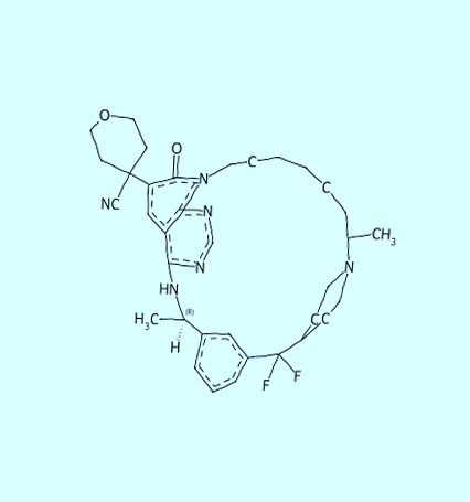 CC1CCCCCCn2c(=O)c(C3(C#N)CCOCC3)cc3c(ncnc32)N[C@H](C)c2cccc(c2)C(F)(F)C2CCN1CC2